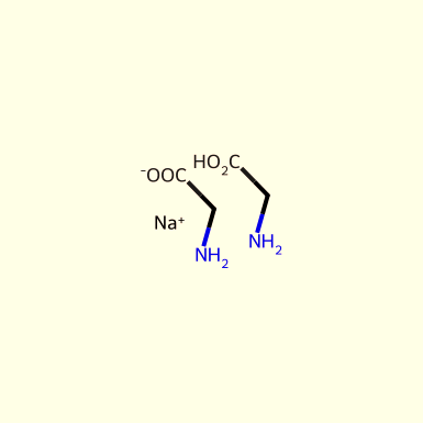 NCC(=O)O.NCC(=O)[O-].[Na+]